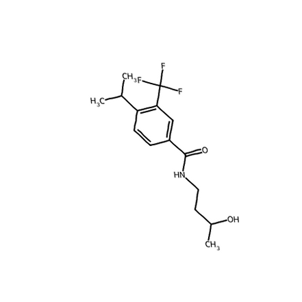 CC(O)CCNC(=O)c1ccc(C(C)C)c(C(F)(F)F)c1